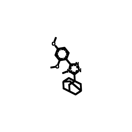 COc1ccc(-c2nnc(C34CC5CC(CC(C5)C3)C4)n2C)c(OC)c1